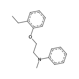 CCc1ccccc1OCCN(C)c1ccccc1